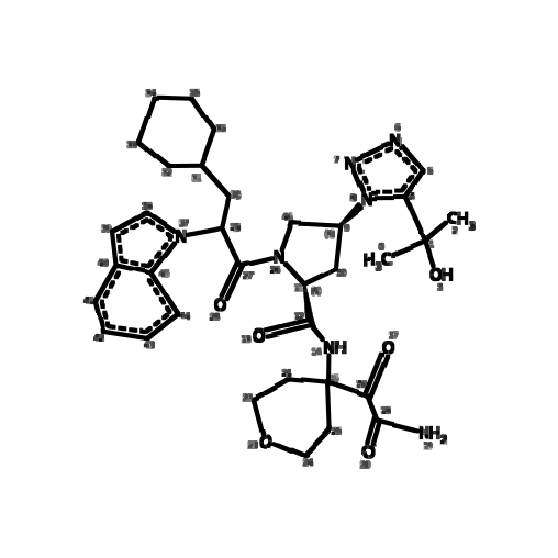 CC(C)(O)c1cnnn1[C@H]1C[C@@H](C(=O)NC2(C(=O)C(N)=O)CCOCC2)N(C(=O)C(CC2CCCCC2)n2ccc3ccccc32)C1